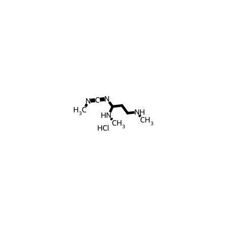 CN=C=NC(CCNC)NC.Cl